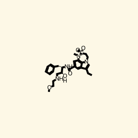 CCc1cn2c3c(cc(C(=O)N[C@@H](Cc4ccccc4)[C@H](O)CNCCOC)cc13)N(C)S(=O)(=O)CC2